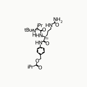 CC(C)C(=O)OCc1ccc(NC(=O)[C@H](CCCNC(N)=O)NC(=O)[C@@H](NC(C)(C)C)C(C)C)cc1